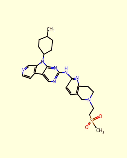 CC1CCC(n2c3cnccc3c3cnc(Nc4ccc5c(n4)CCN(CCS(C)(=O)=O)C5)nc32)CC1